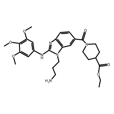 CCOC(=O)C1CCN(C(=O)c2ccc3nc(Nc4cc(OC)c(OC)c(OC)c4)n(CCCN)c3c2)CC1